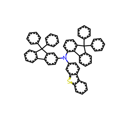 c1ccc(C2(c3ccccc3)c3ccccc3-c3ccc(N(c4ccc5c(c4)sc4ccccc45)c4cccc5c4-c4ccccc4C5(c4ccccc4)c4ccccc4)cc32)cc1